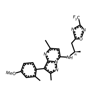 COc1ccc(-c2c(C)nn3c(N[C@H](C)Cc4nc(C(F)(F)F)no4)cc(C)nc23)c(C)c1